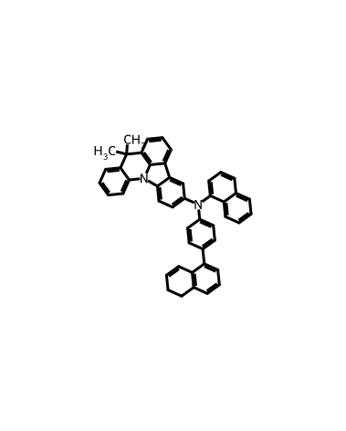 CC1(C)c2ccccc2-n2c3ccc(N(c4ccc(-c5cccc6c5C=CCC6)cc4)c4cccc5ccccc45)cc3c3cccc1c32